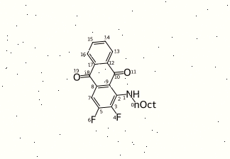 CCCCCCCCNc1c(F)c(F)cc2c1C(=O)c1ccccc1C2=O